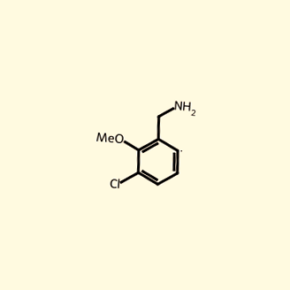 COc1c(CN)[c]ccc1Cl